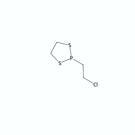 ClCCP1SCCS1